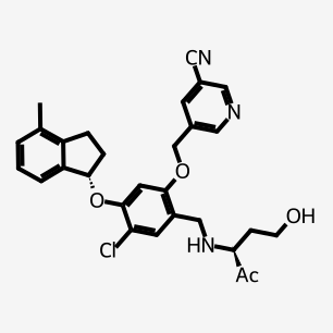 CC(=O)[C@H](CCO)NCc1cc(Cl)c(O[C@H]2CCc3c(C)cccc32)cc1OCc1cncc(C#N)c1